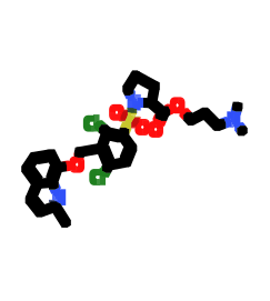 Cc1ccc2cccc(OCc3c(Cl)ccc(S(=O)(=O)N4CCCC4C(=O)OCCCN(C)C)c3Cl)c2n1